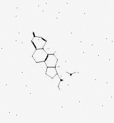 CCCC(=O)O[C@]1(C(=O)COC(C)=O)CC[C@H]2C3=C(C(O)C[C@@]21C)[C@@]1(C)C=CC(=O)C=C1CC3